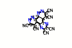 N#Cc1nc2c(nc1C#N)c1c(C#N)c(C#N)nnc1c1nnc(C#N)c(C#N)c12